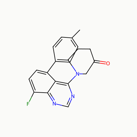 Cc1ccc(-c2ccc(F)c3ncnc(N4CCCC(=O)C4)c23)cc1